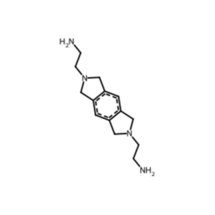 NCCN1Cc2cc3c(cc2C1)CN(CCN)C3